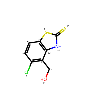 OCc1c(Cl)ccc2sc(=S)[nH]c12